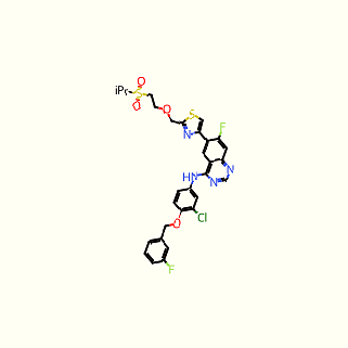 CC(C)S(=O)(=O)CCOCc1nc(-c2cc3c(Nc4ccc(OCc5cccc(F)c5)c(Cl)c4)ncnc3cc2F)cs1